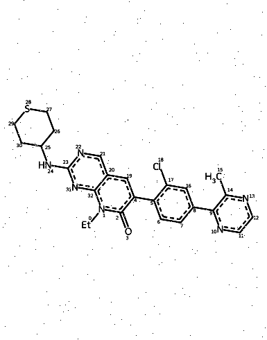 CCn1c(=O)c(-c2ccc(-c3nccnc3C)cc2Cl)cc2cnc(NC3CCSCC3)nc21